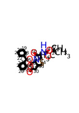 CC(C)(C)OC(=O)NC1C(=O)N2C(C(=O)OC(c3ccccc3)c3ccccc3)C(CC=O)=CSC12